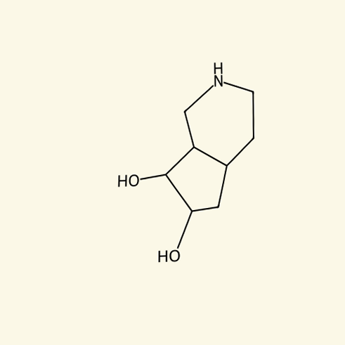 OC1CC2CCNCC2C1O